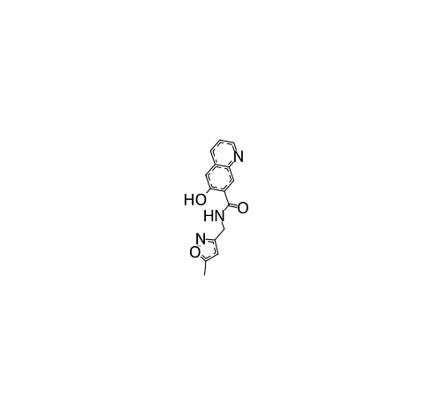 Cc1cc(CNC(=O)c2cc3ncccc3cc2O)no1